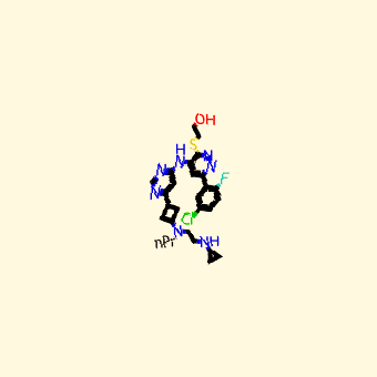 CCCN(CCNC1CC1)C1CC(c2cc(Nc3cc(-c4cc(Cl)ccc4F)nnc3SCCO)ncn2)C1